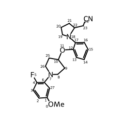 COc1ccc(F)c(N2CCC(Oc3ccccc3N3CCCC3CC#N)CC2)c1